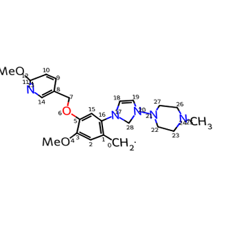 [CH2]c1cc(OC)c(OCc2ccc(OC)nc2)cc1N1C=CN(N2CCN(C)CC2)C1